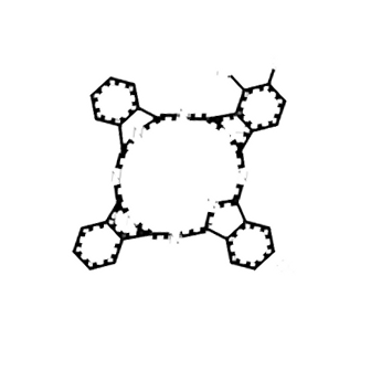 Clc1ccc2c3nc4nc(nc5[nH]c(nc6nc(nc([nH]3)c2c1Cl)-c1ccccc1-6)c1ccccc51)-c1ccccc1-4.[Cu]